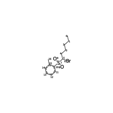 CCCCCC(Br)S(=O)(=O)c1ccccc1C